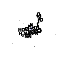 C=NN(C)/C=C(\C)Cn1c(Cn2nc(-c3cccc(O)c3)c3c(N)ncnc32)nc2cccc(C#CCCCC(=O)N3CCOCC3)c2c1=O